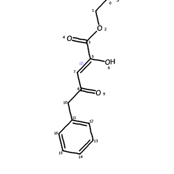 CCOC(=O)/C(O)=C/C(=O)Cc1ccccc1